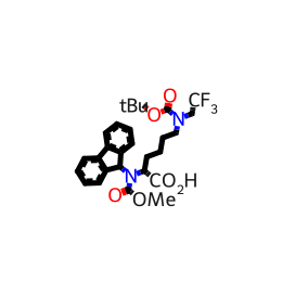 COC(=O)N(C(CCCCN(CC(F)(F)F)C(=O)OC(C)(C)C)C(=O)O)C1c2ccccc2-c2ccccc21